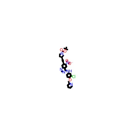 CC(C)(C)OC(=O)N1CCC(C#Cc2cc3ncnc(Nc4ccc(OCc5ccccn5)c(Cl)c4)c3cc2[N+](=O)[O-])C1